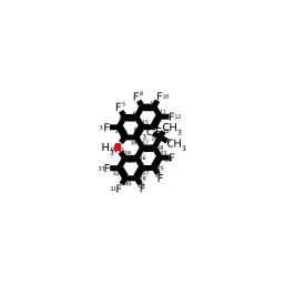 Cc1c(F)c(F)c2c(F)c(F)c(F)c(F)c2c1-c1c(C(C)(C)C)c(F)c(F)c2c(F)c(F)c(F)c(F)c12